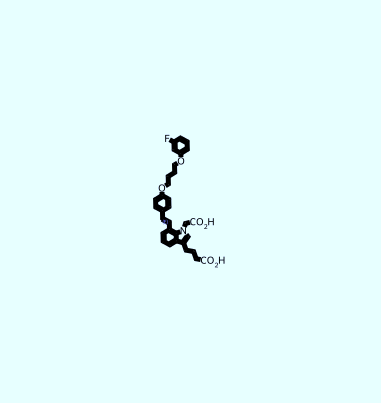 O=C(O)CCCc1cn(CC(=O)O)c2c(/C=C/c3ccc(OCCCCOc4cccc(F)c4)cc3)cccc12